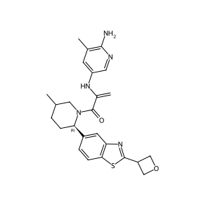 C=C(Nc1cnc(N)c(C)c1)C(=O)N1CC(C)CC[C@@H]1c1ccc2sc(C3COC3)nc2c1